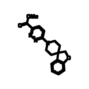 COC(=O)c1ccc(N2CCC3(CC2)COc2ccccc23)nn1